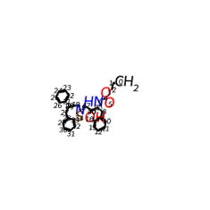 C=CCOC(=O)N[C@@H](Cc1ccccc1)[C@H](O)CN1C[C@@H](c2ccccc2)Cc2ccccc2S1